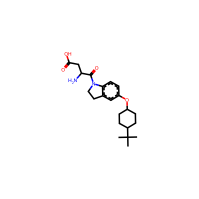 CC(C)(C)C1CCC(Oc2ccc3c(c2)CCN3C(=O)C(N)CC(=O)O)CC1